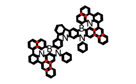 C1=Cc2c3n(c4cc5c(cc24)B2c4ccccc4N(c4c(-c6ccccc6)cccc4-c4ccccc4)c4cc(-c6ccccc6)cc(c42)N5c2ccccc2)-c2cc4c(cc2C3C1)B1c2ccccc2N(c2c(-c3ccccc3)cccc2-c2ccccc2)c2cc(-c3ccccc3)cc(c21)N4c1ccccc1